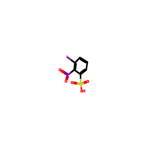 O=I(=O)c1c(I)cccc1S(=O)(=O)O